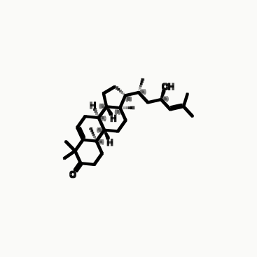 CC(C)=C[C@H](O)C[C@@H](C)[C@H]1CC[C@H]2[C@@H]3CC=C4C(C)(C)C(=O)CC[C@]4(C)[C@H]3CC[C@]12C